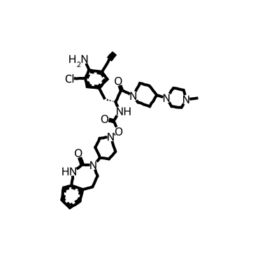 C#Cc1cc(C[C@@H](NC(=O)ON2CCC(N3CCc4ccccc4NC3=O)CC2)C(=O)N2CCC(N3CCN(C)CC3)CC2)cc(Cl)c1N